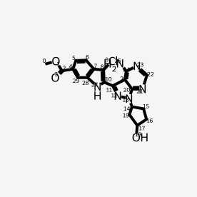 COC(=O)c1ccc2c(Cl)c(-c3nn(C4CCC(O)C4)c4ncnc(N)c34)[nH]c2c1